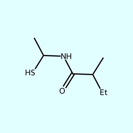 CCC(C)C(=O)NC(C)S